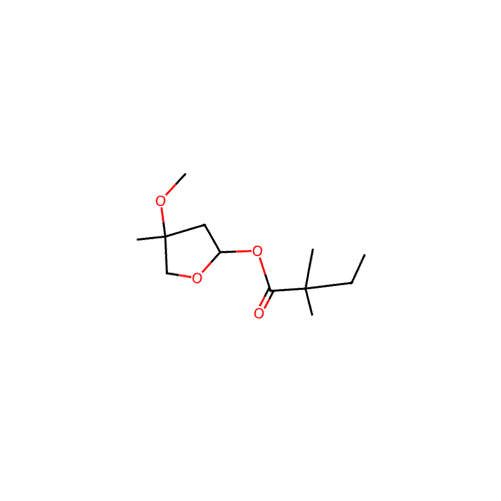 CCC(C)(C)C(=O)OC1CC(C)(OC)CO1